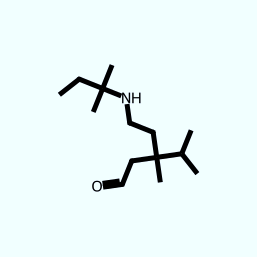 CCC(C)(C)NCCC(C)(CC=O)C(C)C